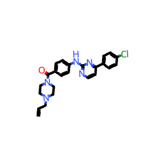 C=CCN1CCN(C(=O)c2ccc(Nc3nccc(-c4ccc(Cl)cc4)n3)cc2)CC1